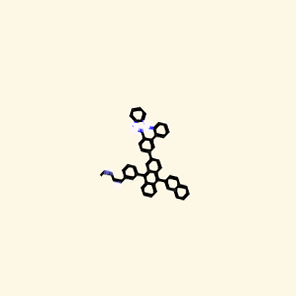 C/C=C\C=C/c1cccc(-c2c3ccccc3c(-c3ccc4ccccc4c3)c3ccc(-c4ccc5c(c4)c4ccccc4n4c6ccccc6nc54)cc23)c1